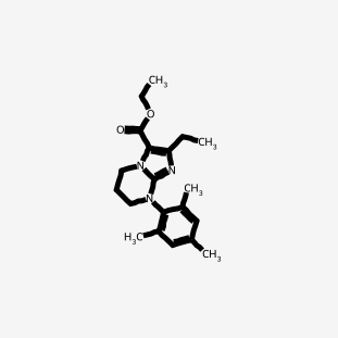 CCOC(=O)c1c(CC)nc2n1CCCN2c1c(C)cc(C)cc1C